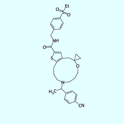 CCS(=O)(=O)c1ccc(CNC(=O)c2cc3c(s2)CCCN(C(C)c2ccc(C#N)cc2)CCCOC2(CC2)C3)cc1